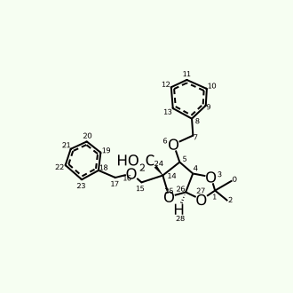 CC1(C)OC2C(OCc3ccccc3)[C@](COCc3ccccc3)(C(=O)O)O[C@@H]2O1